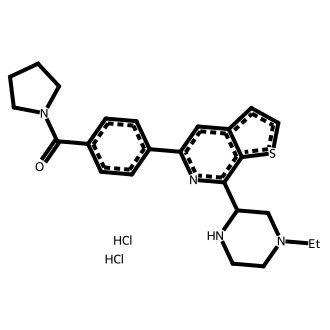 CCN1CCNC(c2nc(-c3ccc(C(=O)N4CCCC4)cc3)cc3ccsc23)C1.Cl.Cl